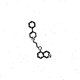 C1=C(c2ccccc2)CCN(CCCOc2cccc3cnccc23)C1